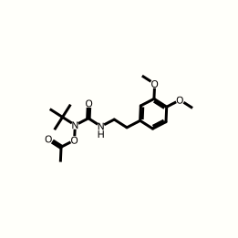 COc1ccc(CCNC(=O)N(OC(C)=O)C(C)(C)C)cc1OC